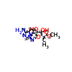 COC(=O)C(C)[C@H]1O[C@@](C#N)(c2ccc3c(N)ncnn23)[C@H](O)[C@@H]1O